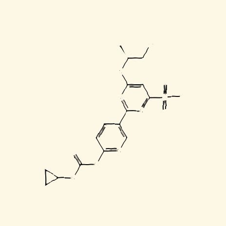 C[C@@H](CO)Nc1cc(S(C)(=O)=O)nc(-c2ccc(NC(=O)NC3CC3)nc2)n1